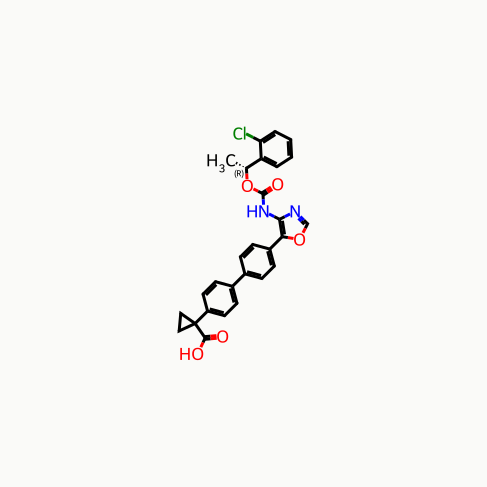 C[C@@H](OC(=O)Nc1ncoc1-c1ccc(-c2ccc(C3(C(=O)O)CC3)cc2)cc1)c1ccccc1Cl